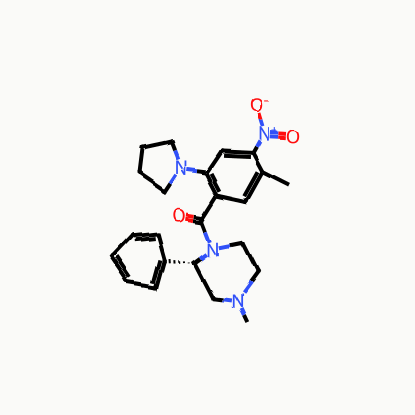 Cc1cc(C(=O)N2CCN(C)C[C@@H]2c2ccccc2)c(N2CCCC2)cc1[N+](=O)[O-]